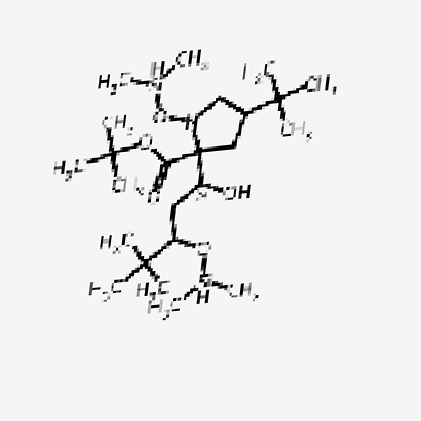 C[SiH](C)OC(C[C@H](O)C1(C(=O)OC(C)(C)C)CC(C(C)(C)C)CN1O[SiH](C)C)C(C)(C)C